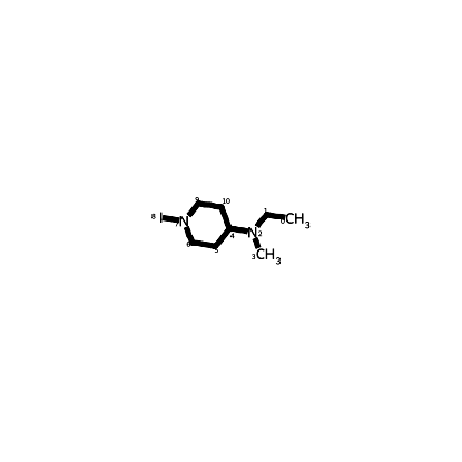 CCN(C)C1CCN(I)CC1